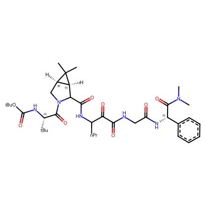 CCCC(NC(=O)C1[C@H]2[C@@H](CN1C(=O)[C@@H](NC(=O)OCC(C)C)C(C)(C)C)C2(C)C)C(=O)C(=O)NCC(=O)N[C@H](C(=O)N(C)C)c1ccccc1